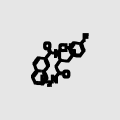 CN(C(=O)c1ccc2ccccc2c1)C(CC(N)=O)Cc1ccc(F)cc1